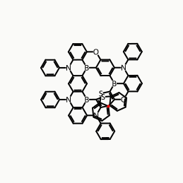 c1ccc(N2c3cc4c(cc3B3c5cc6c(cc5Oc5cccc2c53)N(c2ccccc2)c2cccc3c2B6c2sc5ccccc5c2O3)B2c3sc5ccccc5c3N(c3ccccc3)c3cccc(c32)N4c2ccccc2)cc1